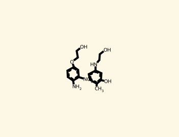 Cc1ccc(NCCO)cc1O.Nc1ccc(OCCO)cc1[N+](=O)[O-]